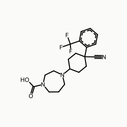 N#CC1(c2ccccc2C(F)(F)F)CCC(N2CCCN(C(=O)O)CC2)CC1